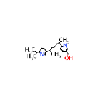 CC(C)c1ccc([C@H](C)CCCC(C)c2ccc(CO)cn2)cn1